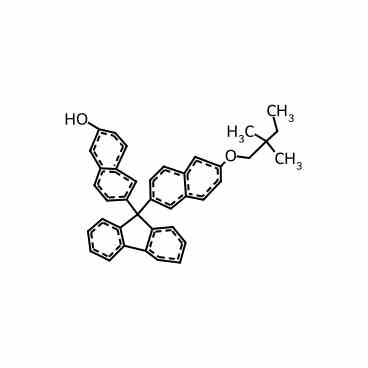 CCC(C)(C)COc1ccc2cc(C3(c4ccc5cc(O)ccc5c4)c4ccccc4-c4ccccc43)ccc2c1